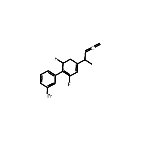 C=C=CC(C)C1=CC(F)=C(c2cccc(C(C)C)c2)C(F)C1